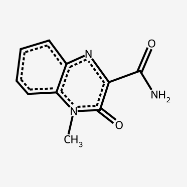 Cn1c(=O)c(C(N)=O)nc2ccccc21